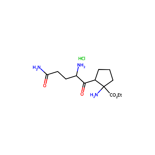 CCOC(=O)C1(N)CCCC1C(=O)C(N)CCC(N)=O.Cl